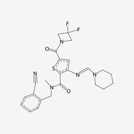 CN(Cc1ccccc1C#N)C(=O)c1sc(C(=O)N2CC(F)(F)C2)cc1/N=C/N1CCCCC1